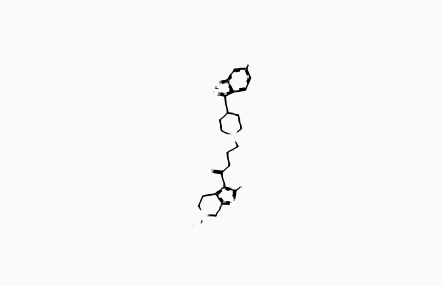 CCc1sc2c(c1C(=O)CCCN1CCC(c3noc4cc(F)ccc34)CC1)CCN(C(C)=O)C2